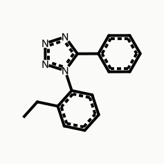 CCc1ccccc1-n1nnnc1-c1ccccc1